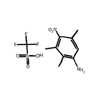 Cc1cc(N)c(C)c(C)c1[N+](=O)[O-].O=S(=O)(O)C(F)(F)F